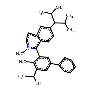 Cc1c(-c2c3ccc(C(C(C)C)C(C)C)cc3cc[n+]2C)cc(-c2ccccc2)cc1C(C)C